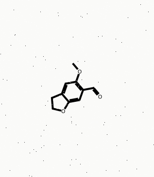 COc1cc2c(cc1C=O)OCC2